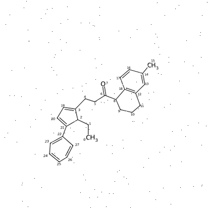 CCC1C(CCC(=O)C2CCCc3cc(C)ccc32)=CC=C1c1ccccc1